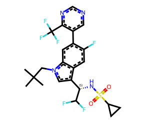 CC(C)(C)Cn1cc([C@H](NS(=O)(=O)C2CC2)C(F)F)c2cc(F)c(-c3cncnc3C(F)(F)F)cc21